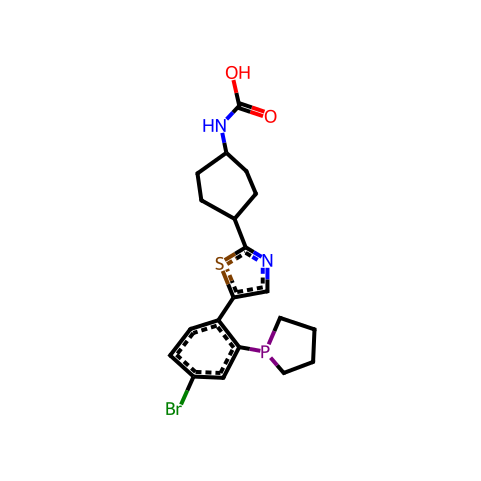 O=C(O)NC1CCC(c2ncc(-c3ccc(Br)cc3P3CCCC3)s2)CC1